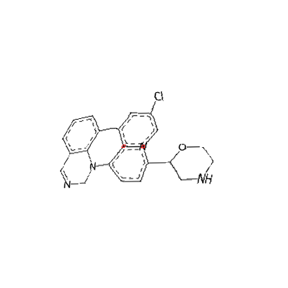 Clc1cccc(-c2cccc3c2N(c2ccc(C4CNCCO4)nc2)CN=C3)c1